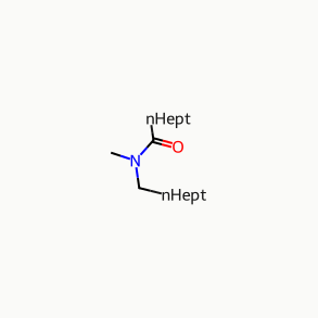 CCCCCCCCN(C)C(=O)CCCCCCC